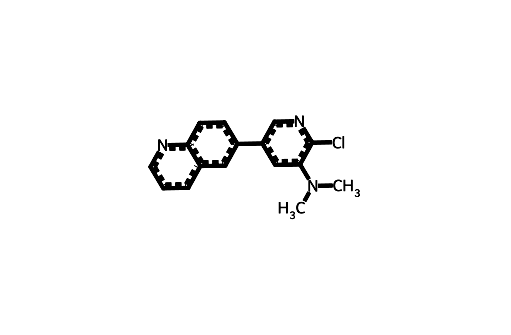 CN(C)c1cc(-c2ccc3ncccc3c2)cnc1Cl